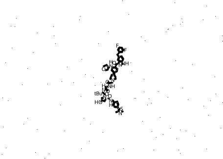 Cc1ncsc1-c1ccc(CNC(=O)[C@@H]2C[C@@H](O)CN2C(=O)[C@@H](NC(=O)CNC(=O)CN2CCN(c3ccc(C(=O)c4n[nH]c5ccc(Cc6cc(F)cc(F)c6)cc45)c(NC4CCOCC4)c3)CC2)C(C)(C)C)cc1